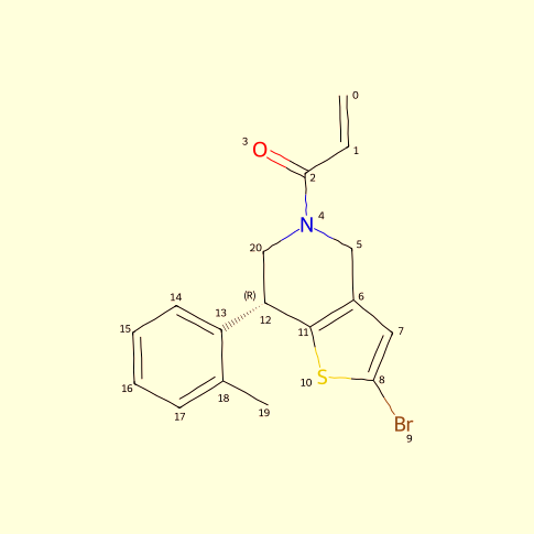 C=CC(=O)N1Cc2cc(Br)sc2[C@H](c2ccccc2C)C1